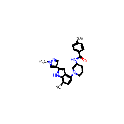 Cn1cc(-c2cc3c(N4CCC[C@@H](NC(=O)c5ccc(C(C)(C)C)cc5)C4)ccc(C#N)c3[nH]2)cn1